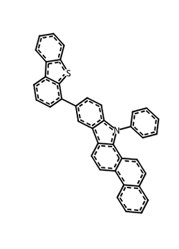 c1ccc(-n2c3ccc(-c4cccc5c4sc4ccccc45)cc3c3ccc4c5ccccc5ccc4c32)cc1